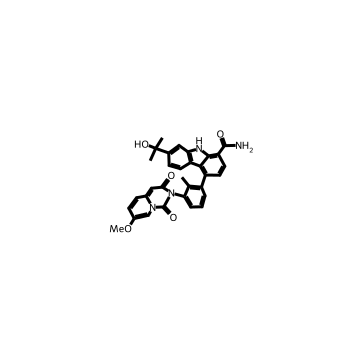 COc1ccc2cc(=O)n(-c3cccc(-c4ccc(C(N)=O)c5[nH]c6cc(C(C)(C)O)ccc6c45)c3C)c(=O)n2c1